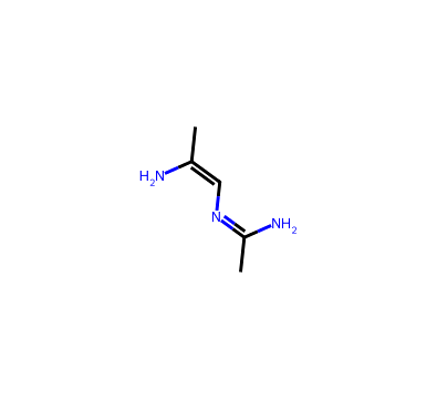 C/C(N)=C/N=C(/C)N